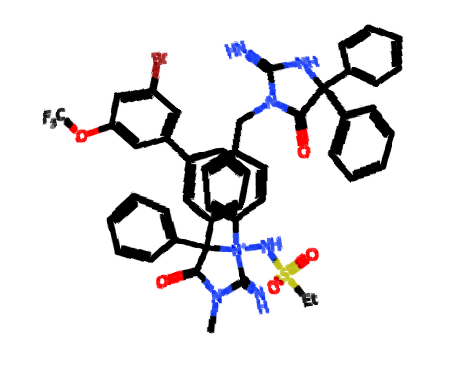 CCS(=O)(=O)N[N+]1(c2ccc(CN3C(=N)NC(c4ccccc4)(c4ccccc4)C3=O)cc2)C(=N)N(C)C(=O)C1(c1ccccc1)c1cccc(-c2cc(Br)cc(OC(F)(F)F)c2)c1